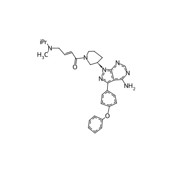 CC(C)N(C)C/C=C/C(=O)N1CCC[C@@H](n2nc(-c3ccc(Oc4ccccc4)cc3)c3c(N)ncnc32)C1